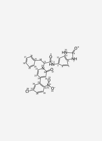 O=C(Nc1ccc2[nH]c(=O)[nH]c2c1)C(Cc1ccccc1)n1ccc(-c2cc(Cl)ccc2[N+](=O)[O-])cc1=O